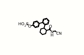 N#CCNC(=O)C1CCCCC1c1ccccc1-c1ccc(OC(=O)O)cc1